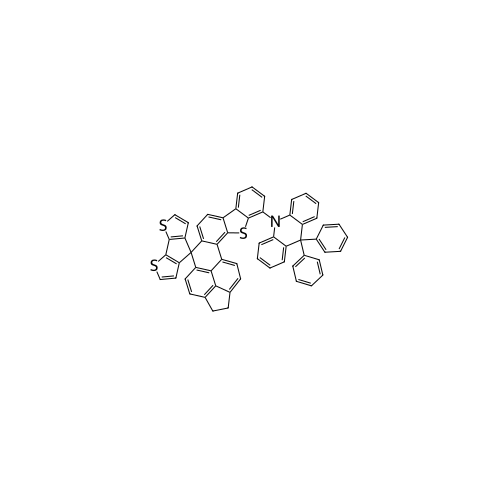 c1ccc(C2(c3ccccc3)c3ccccc3N(c3cccc4c3sc3c5c(ccc34)C3(c4ccsc4-c4sccc43)c3ccc4c6c(ccc-5c36)CC4)c3ccccc32)cc1